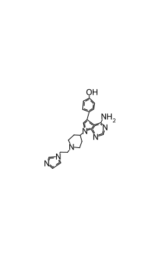 Nc1ncnc2c1c(-c1ccc(O)cc1)cn2C1CCN(CCn2ccnc2)CC1